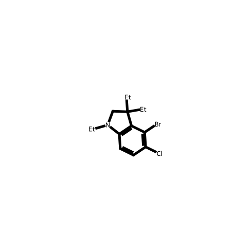 CCN1CC(CC)(CC)c2c1ccc(Cl)c2Br